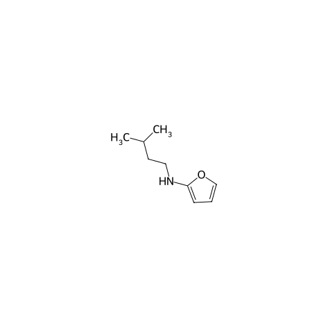 CC(C)CCNc1ccco1